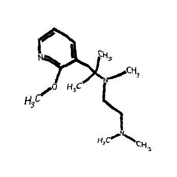 COc1ncccc1C(C)(C)N(C)CCN(C)C